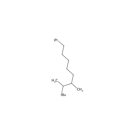 CC(C)CCCCCC(C)C(C)C(C)(C)C